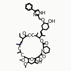 CCC1/C=C(\C)CC(C)CC(OC)C2OC(O)(C(=O)C(=O)N3CCCCC3C(=O)OC(C(C)=CC3CCC(O)C(OCc4nc(-c5ccccc5)c[nH]4)C3)C(C)CCC1=O)C(C)CC2OC